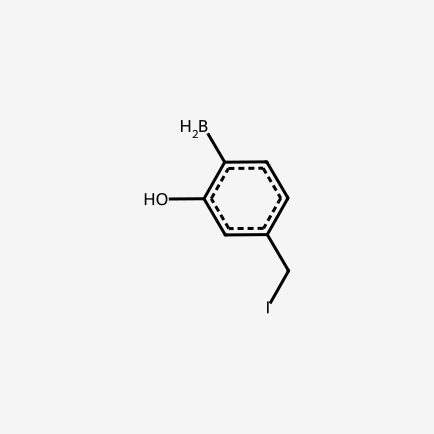 Bc1ccc(CI)cc1O